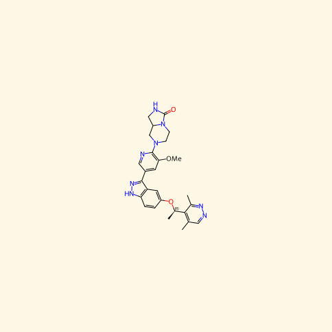 COc1cc(-c2n[nH]c3ccc(O[C@H](C)c4c(C)cnnc4C)cc23)cnc1N1CCN2C(=O)NCC2C1